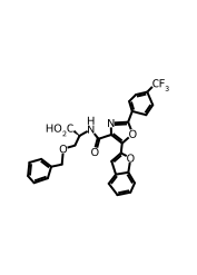 O=C(N[C@@H](COCc1ccccc1)C(=O)O)c1nc(-c2ccc(C(F)(F)F)cc2)oc1-c1cc2ccccc2o1